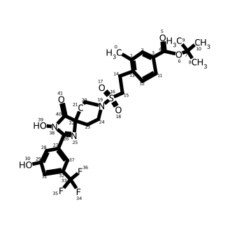 Cc1cc(C(=O)OC(C)(C)C)ccc1CCS(=O)(=O)N1CCC2(CC1)N=C(c1cc(O)cc(C(F)(F)F)c1)N(O)C2=O